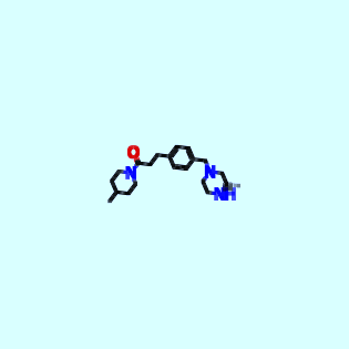 CC1CCN(C(=O)CCc2ccc(CN3CCN[C@@H](C)C3)cc2)CC1